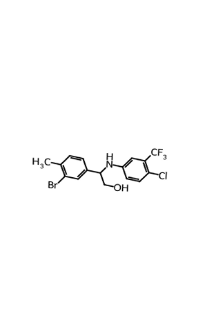 Cc1ccc(C(CO)Nc2ccc(Cl)c(C(F)(F)F)c2)cc1Br